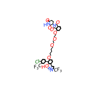 Cn1nc(C(F)(F)F)cc1-c1ccc(OCCCCCOCCOCCOc2cccc3c2C(=O)N(C2CCC(=O)NC2=O)C3=O)c(-c2ccc(Cl)c(C(F)(F)F)c2)c1O